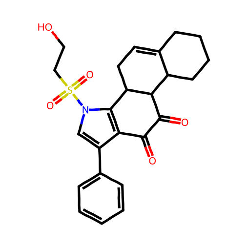 O=C1C(=O)C2C3CCCCC3=CCC2c2c1c(-c1ccccc1)cn2S(=O)(=O)CCO